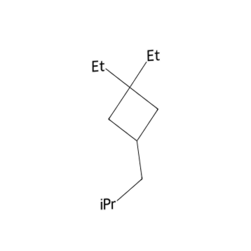 CCC1(CC)CC(CC(C)C)C1